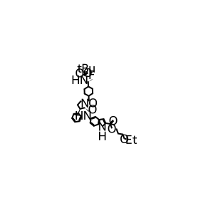 CCOCCCOC(=O)c1cc2cc(NC(=O)[C@@H]3[C@@H](c4ccccc4)CCN3C(=O)C3CCC([C@@H](CF)NC(=O)OC(C)(C)C)CC3)ccc2[nH]1